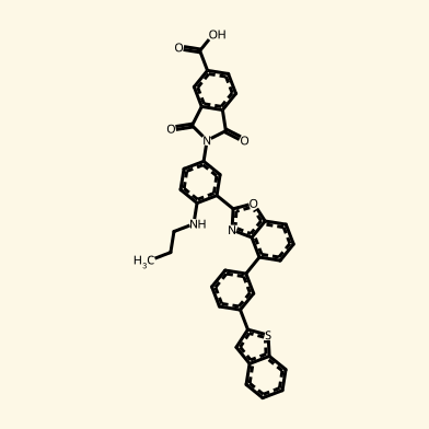 CCCNc1ccc(N2C(=O)c3ccc(C(=O)O)cc3C2=O)cc1-c1nc2c(-c3cccc(-c4cc5ccccc5s4)c3)cccc2o1